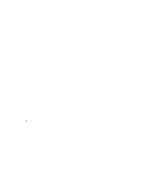 [C]#CC(C#C)CCCCCC